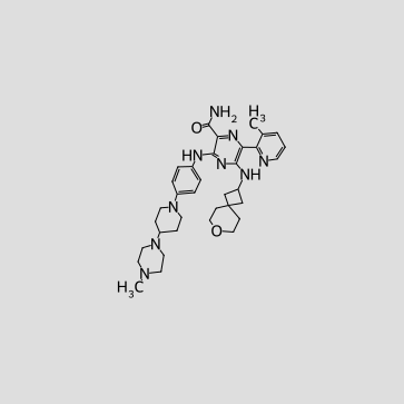 Cc1cccnc1-c1nc(C(N)=O)c(Nc2ccc(N3CCC(N4CCN(C)CC4)CC3)cc2)nc1NC1CC2(CCOCC2)C1